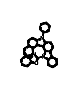 c1ccc(-n2c3ccc4ccccc4c3c3c2ccc2c4ccccc4n(-c4nc5ccccc5o4)c23)cc1